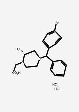 C[C@@H]1CN(C(c2ccccc2)c2ccc(Br)cc2)CCN1CC(=O)O.Cl.Cl